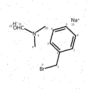 BrCc1ccccc1.CN(C)C=O.[H-].[Na+]